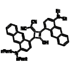 CCCCCN(CCCCC)c1ccc(C2C(O)=C(c3ccc(N(CC)CC)c4cc5ccccc5cc34)C2=C(C#N)C#N)c2cc3ccccc3cc12